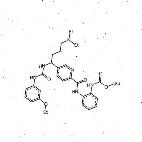 CCOc1cccc(NC(=O)NC(CCCN(CC)CC)c2ccc(C(=O)Nc3ccccc3NC(=O)OC(C)(C)C)nc2)c1